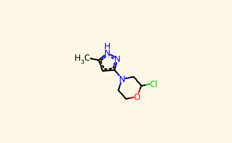 Cc1cc(N2CCOC(Cl)C2)n[nH]1